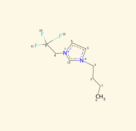 CCCCn1cc[n+](CC(F)(F)F)c1